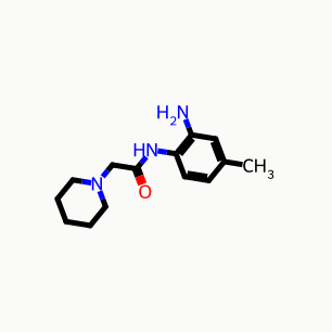 Cc1ccc(NC(=O)CN2CCCCC2)c(N)c1